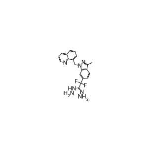 Cc1nn(Cc2cccc3cccnc23)c2cc(C(F)(F)/C(=N/N)NN)ccc12